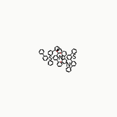 c1cccc(-c2cc(S(c3ccccc3)(c3cccc(-c4ccccc4)c3)c3cccc(-c4ccccc4)c3)cc(-c3ccccc3)c2-n2c3c(c4cc(-n5c6ccccc6c6cccc(-c7cccc8c7sc7ccccc78)c65)ccc42)C=CCC3)c#1